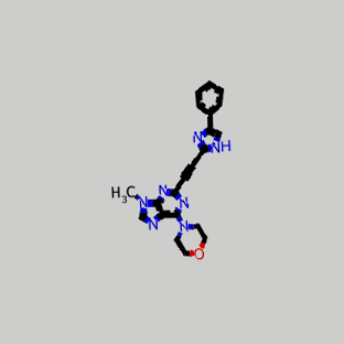 Cn1cnc2c(N3CCOCC3)nc(C#Cc3nc(-c4ccccc4)c[nH]3)nc21